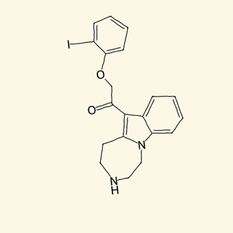 O=C(COc1ccccc1I)c1c2n(c3ccccc13)CCNCC2